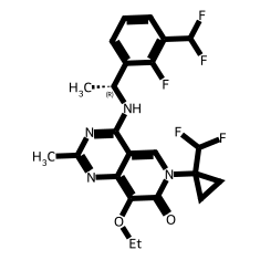 CCOc1c(=O)n(C2(C(F)F)CC2)cc2c(N[C@H](C)c3cccc(C(F)F)c3F)nc(C)nc12